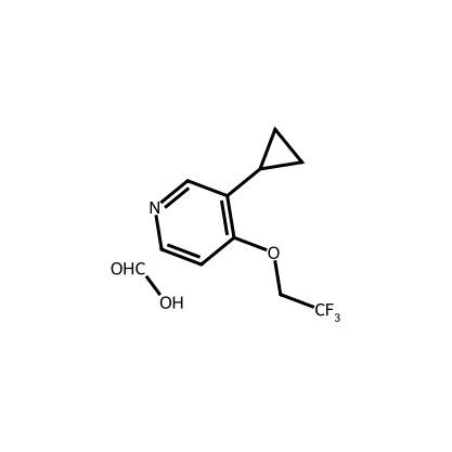 FC(F)(F)COc1ccncc1C1CC1.O=CO